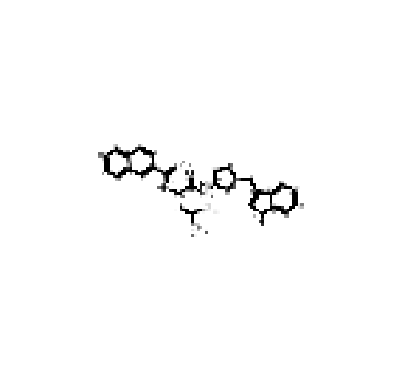 CC(C)C[C@H](NC(=O)c1ccc2ccccc2c1)C(=O)N[C@H]1CCN(Cc2c[nH]c3ccccc23)C1